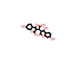 O=c1oc2cc(O)ccc2c(O)c1C1c2c(c3ccc(O)cc3oc2=O)OC1O